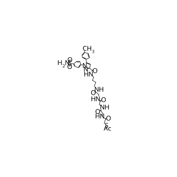 CC(=O)SCC(=O)NCC(=O)NCC(=O)NCC(=O)NCCCCNC(=O)c1cc(-c2ccc(C)cc2)n(-c2ccc(S(N)(=O)=O)cc2)n1